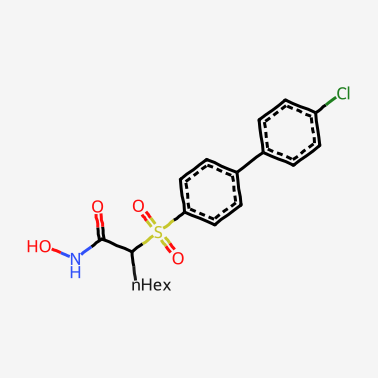 CCCCCCC(C(=O)NO)S(=O)(=O)c1ccc(-c2ccc(Cl)cc2)cc1